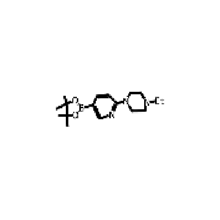 CCN1CCN(c2ccc(B3OC(C)(C)C(C)(C)O3)cn2)CC1